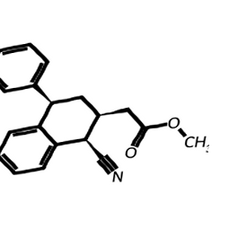 COC(=O)C[C@@H]1C[C@H](c2ccccc2)c2ccccc2[C@@H]1C#N